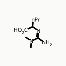 CCCC(N=C(N)N(C)C)C(=O)O